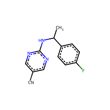 CC(Nc1ncc(C#N)cn1)c1ccc(F)cc1